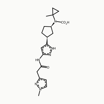 Cn1ccc(CC(=O)Nc2cc([C@H]3CC[C@@H](N(C(=O)O)C4(C)CC4)C3)[nH]n2)n1